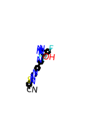 N#Cc1ccc2sc(N3CCN(c4ccc(-c5ccc(C(F)(F)[C@]6(O)Cn7nnnc7-c7cc(F)ccc76)nc5)cc4)CC3)nc2c1